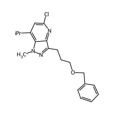 CC(C)c1cc(Cl)nc2c(CCCOCc3ccccc3)nn(C)c12